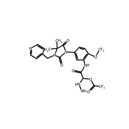 CC(C)(C)NC(OC(=O)C(F)(F)F)C(=O)Nc1cc(N2C(=O)N(Cc3ccncc3)C(C)(C)C2=O)ccc1OC(F)(F)F